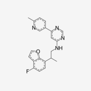 Cc1ccc(-c2cc(NCC(C)c3ccc(F)c4ccoc34)ncn2)cn1